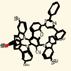 CC(C)(C)c1ccc2c(c1)c1cc(C(C)(C)C)ccc1n2-c1c(C#N)c(-n2c3ccc(C(C)(C)C)cc3c3cc(C(C)(C)C)ccc32)c2oc3c(-c4cc(-c5ccccc5)nc(-c5ccccc5)n4)cccc3c2c1-n1c2ccc(C(C)(C)C)cc2c2cc(C(C)(C)C)ccc21